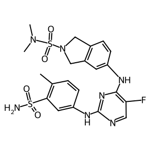 Cc1ccc(Nc2ncc(F)c(Nc3ccc4c(c3)CN(S(=O)(=O)N(C)C)C4)n2)cc1S(N)(=O)=O